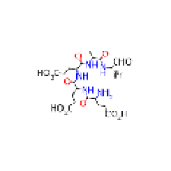 CC(C)[C@@H]([C]=O)NC(=O)[C@H](C)NC(=O)[C@H](CCC(=O)O)NC(=O)[C@H](CCC(=O)O)NC(=O)[C@@H](N)CCC(=O)O